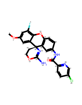 COc1cc(F)c2c(c1)[C@]1(CCOC(N)=N1)c1cc(NC(=O)c3ccc(Cl)cn3)ccc1O2